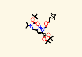 CC(C)N(Cc1cc(B2OC(C)(C)C(C)(C)O2)n(COCC[Si](C)(C)C)n1)C(=O)OC(C)(C)C